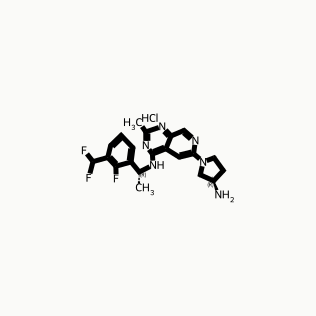 Cc1nc(N[C@H](C)c2cccc(C(F)F)c2F)c2cc(N3CC[C@@H](N)C3)ncc2n1.Cl